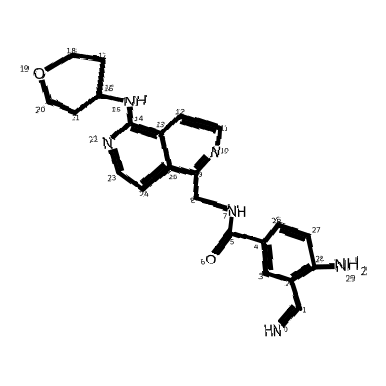 N=Cc1cc(C(=O)NCc2nccc3c(NC4CCOCC4)nccc23)ccc1N